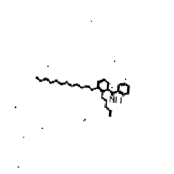 CCCCCCCCCCCCc1cccc(C(=N)c2ccccc2)c1CCCCC